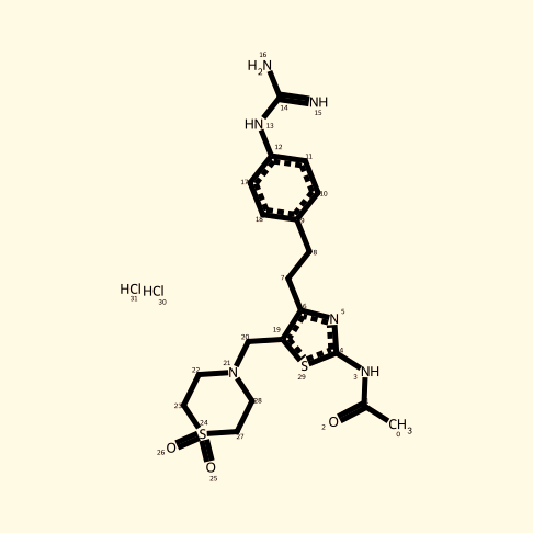 CC(=O)Nc1nc(CCc2ccc(NC(=N)N)cc2)c(CN2CCS(=O)(=O)CC2)s1.Cl.Cl